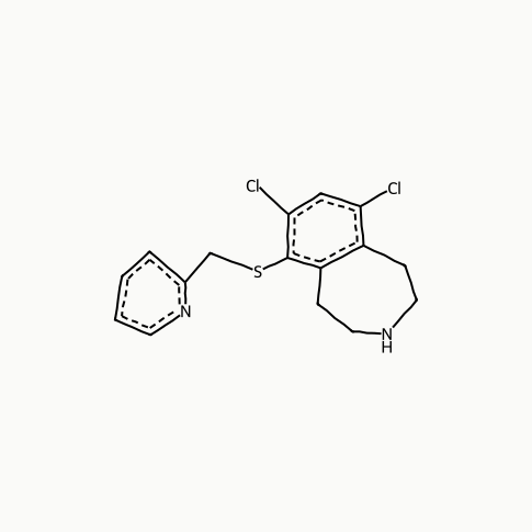 Clc1cc(Cl)c(SCc2ccccn2)c2c1CCNCC2